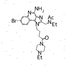 CCN1CCN(C(=O)CCCn2c(CN(CC)C(C)=O)nc3c(N)nc4cc(Br)ccc4c32)CC1